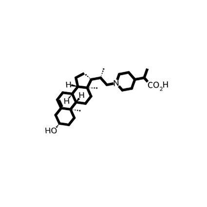 CC(C(=O)O)C1CCN(C[C@@H](C)[C@H]2CC[C@H]3[C@@H]4CC=C5C[C@@H](O)CC[C@]5(C)[C@H]4CC[C@]23C)CC1